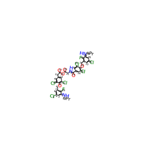 CCCNc1cc(Cl)cc(COc2c(Cl)cc(CC(=O)OC(=O)CNC(=O)c3cc(Cl)c(OCc4cc(Cl)cc(NCCC)c4F)c(Cl)c3)cc2Cl)c1F